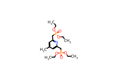 CCOP(=O)(Cc1cc(C)cc(CP(=O)(OCC)OCC)n1)OCC